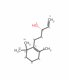 C=C[C@@H](O)CCC1=C(C)CCCC1(C)C